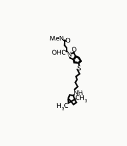 CNC(=O)CCC(C=O)N1Cc2cc(SCCCCCCCNC3CC4C(C)C45CCC35C)ccc2C1=O